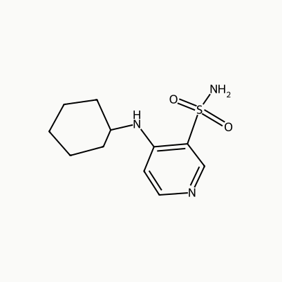 NS(=O)(=O)c1cnccc1NC1CCCCC1